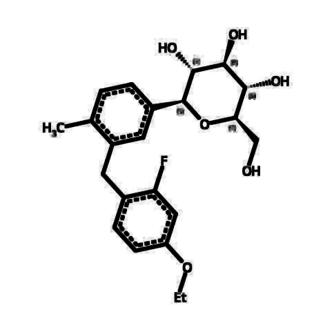 CCOc1ccc(Cc2cc([C@@H]3O[C@H](CO)[C@@H](O)[C@H](O)[C@H]3O)ccc2C)c(F)c1